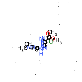 COc1cc(OC)c(Cl)c(-c2cc3cnc(Nc4ccc(N5CCN(C(C)C)CC5)cc4)nc3n3cnnc23)c1